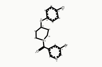 O=C(c1cncc(Br)c1)N1CCC(Oc2ccc(Cl)cc2)CC1